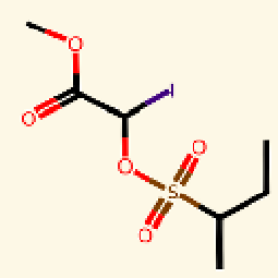 CCC(C)S(=O)(=O)OC(I)C(=O)OC